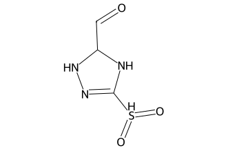 O=CC1NN=C([SH](=O)=O)N1